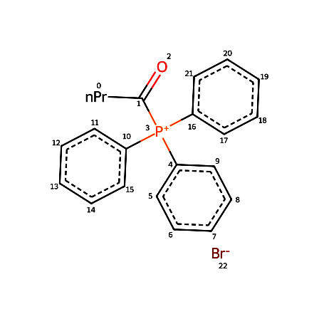 CCCC(=O)[P+](c1ccccc1)(c1ccccc1)c1ccccc1.[Br-]